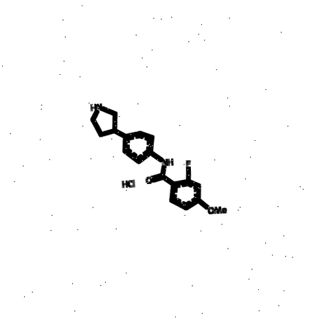 COc1ccc(C(=O)Nc2ccc(C3CCNC3)cc2)c(F)c1.Cl